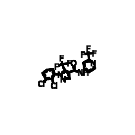 O=C(Nc1ccnc(C(F)(F)F)c1)c1cnn(-c2cccc(Cl)c2Cl)c1C(F)(F)F